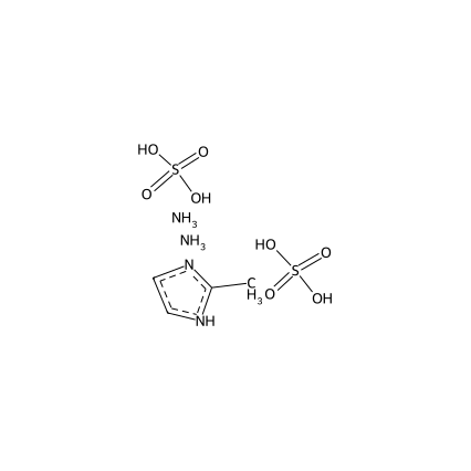 Cc1ncc[nH]1.N.N.O=S(=O)(O)O.O=S(=O)(O)O